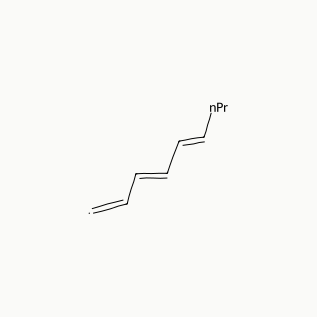 [CH]=CC=CC=CCCC